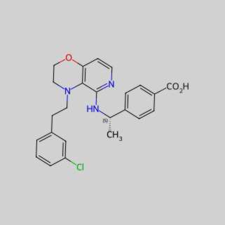 C[C@H](Nc1nccc2c1N(CCc1cccc(Cl)c1)CCO2)c1ccc(C(=O)O)cc1